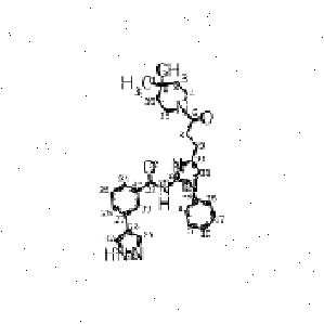 CC1(C)CCN(C(=O)CCc2cn(-c3ccccc3)c(NC(=O)c3cccc(-c4cn[nH]c4)c3)n2)CC1